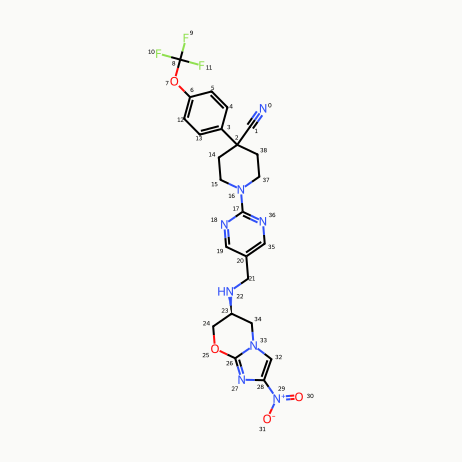 N#CC1(c2ccc(OC(F)(F)F)cc2)CCN(c2ncc(CN[C@@H]3COc4nc([N+](=O)[O-])cn4C3)cn2)CC1